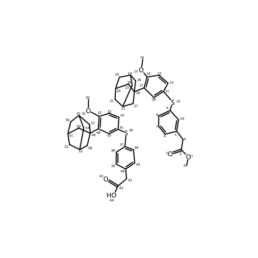 COC(=O)Cc1cccc(Sc2ccc(OC)c(C34CC5CC(CC(C5)C3)C4)c2)c1.COc1ccc(Sc2ccc(CC(=O)O)cc2)cc1C12CC3CC(CC(C3)C1)C2